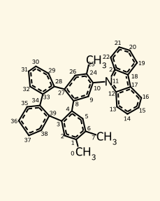 Cc1cc2c(cc1C)-c1cc(-n3c4ccccc4c4ccccc43)c(C)cc1-c1ccccc1-c1ccccc1-2